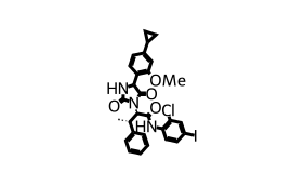 COc1cc(C2CC2)ccc1C1NC(=O)N([C@H](C(=O)Nc2ccc(I)cc2Cl)[C@@H](C)c2ccccc2)C1=O